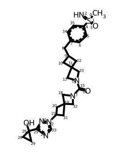 CS(=N)(=O)c1ccc(CC2CC3(C2)CN(C(=O)N2CC4(CC(n5cnc(C6(O)CC6)n5)C4)C2)C3)cc1